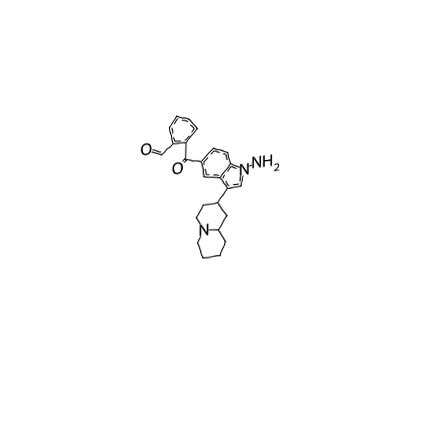 Nn1cc(C2CCN3CCCCC3C2)c2cc(C(=O)c3ccccc3C=O)ccc21